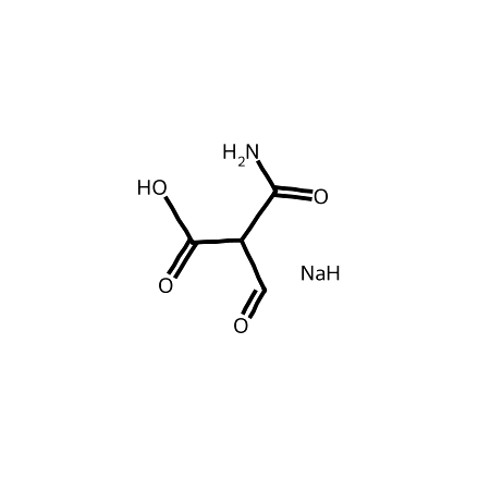 NC(=O)C(C=O)C(=O)O.[NaH]